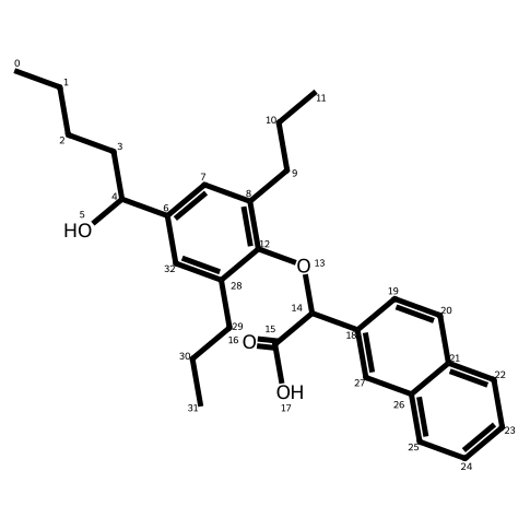 CCCCC(O)c1cc(CCC)c(OC(C(=O)O)c2ccc3ccccc3c2)c(CCC)c1